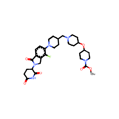 CC(C)(C)OC(=O)N1CCC(OC2CCN(CC3CCN(c4ccc5c(c4F)CN(C4CCC(=O)NC4=O)C5=O)CC3)CC2)CC1